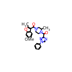 COc1ccc2oc(C)c(C(=O)N3CCN(C(=O)c4ncn(-c5ccccc5)n4)C(C)C3)c2c1